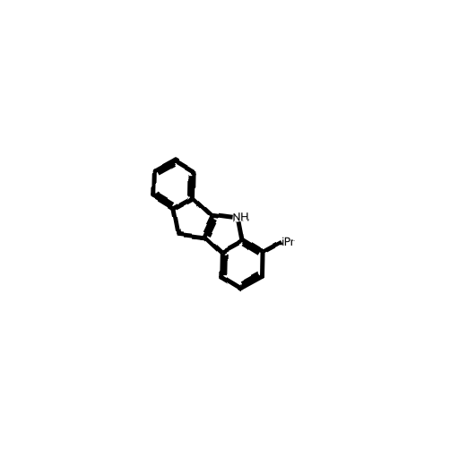 CC(C)c1cccc2c3c([nH]c12)-c1ccccc1C3